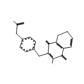 CC1=C(Cc2ccc(CC(=O)O)cc2)C(=O)C2=C(C=CCC2)C1=O